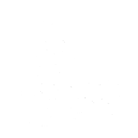 CNC(=O)c1c(-c2ccc(F)cc2)oc2cc(N(CC(CO)CO)S(C)(=O)=O)c(-c3ccc(OC)c(-c4nc5c(F)cccc5o4)c3)cc12